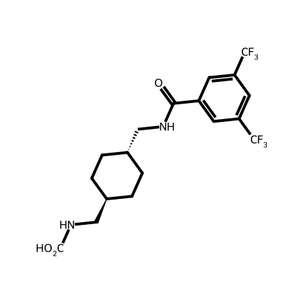 O=C(O)NC[C@H]1CC[C@H](CNC(=O)c2cc(C(F)(F)F)cc(C(F)(F)F)c2)CC1